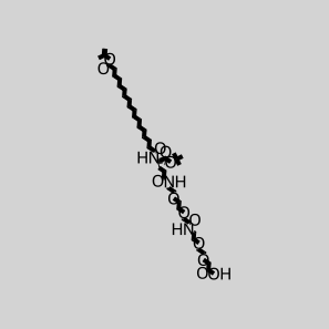 C=C(C)OC(=O)CCCCCCCCCCCCCCCCC(=O)N[C@@H](CCC(=O)NCCOCCOCC(=O)NCCOCCOCC(=O)O)C(=O)OC(C)(C)C